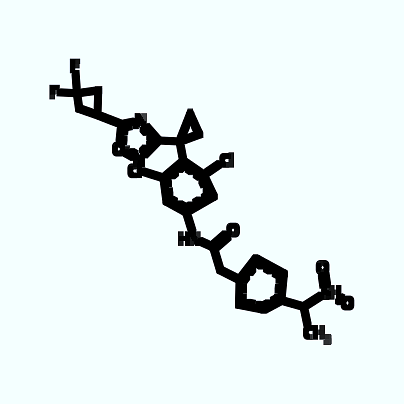 CC(c1ccc(CC(=O)Nc2cc(Cl)c(C3(c4noc(C5CC(F)(F)C5)n4)CC3)c(Cl)c2)cc1)[SH](=O)=O